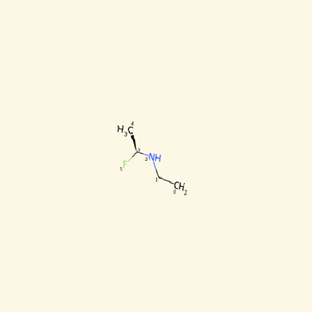 CCN[C@H](C)F